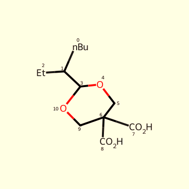 CCCCC(CC)C1OCC(C(=O)O)(C(=O)O)CO1